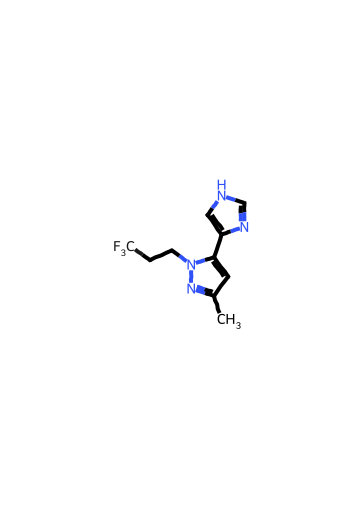 Cc1cc(-c2c[nH]cn2)n(CCC(F)(F)F)n1